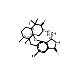 C[C@H]1CC[C@H]2C(C)(C)C(=O)[C@H](O)C[C@]23Oc2c(c(Cl)cc4c2[C@@H](O)NC4=O)C[C@]13C